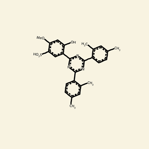 COc1cc(O)c(-c2nc(-c3ccc(C)cc3C)nc(-c3ccc(C)cc3C)n2)cc1S(=O)(=O)O